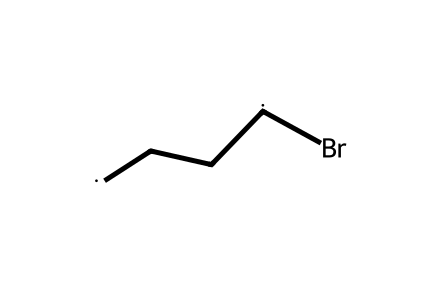 [CH2]CC[CH]Br